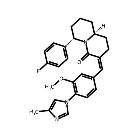 COc1cc(C=C2CC[C@@H]3CCC[C@@H](c4ccc(F)cc4)N3C2=O)ccc1-n1cnc(C)c1